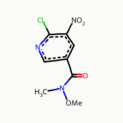 CON(C)C(=O)c1cnc(Cl)c([N+](=O)[O-])c1